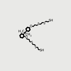 CC(C)(c1ccc(OCCCSCCSCCS)cc1)c1ccccc1OCCCSCCSCCS